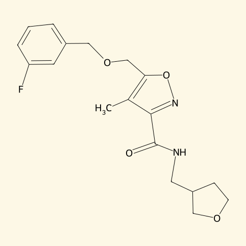 Cc1c(C(=O)NCC2CCOC2)noc1COCc1cccc(F)c1